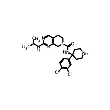 CC(C)Nc1ncc2c(n1)CN(C(=O)NC1(c3ccc(Cl)c(Cl)c3)CCNCC1)CC2